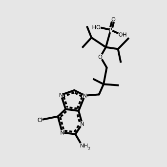 CC(C)C(OCC(C)(C)Cn1cnc2c(Cl)nc(N)nc21)(C(C)C)P(=O)(O)O